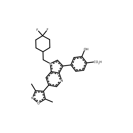 Cc1noc(C)c1-c1cnc2c(-c3ccc(C(=O)O)c(O)c3)cn(CC3CCC(F)(F)CC3)c2c1